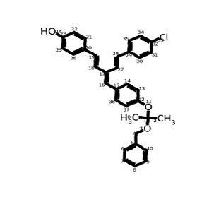 CC(C)(OCc1ccccc1)Oc1ccc(C=C(C=Cc2ccc(O)cc2)C=Cc2ccc(Cl)cc2)cc1